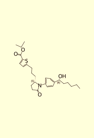 CCCCC[C@@H](O)c1ccc(N2C(=O)CC[C@@H]2CCCc2ccc(C(=O)OC(C)C)s2)cc1